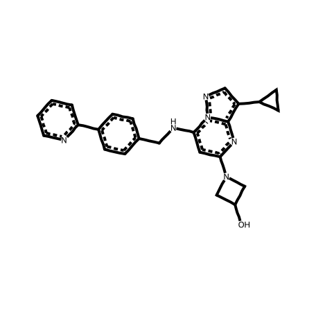 OC1CN(c2cc(NCc3ccc(-c4ccccn4)cc3)n3ncc(C4CC4)c3n2)C1